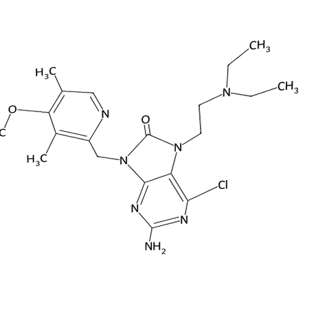 CCN(CC)CCn1c(=O)n(Cc2ncc(C)c(OC)c2C)c2nc(N)nc(Cl)c21